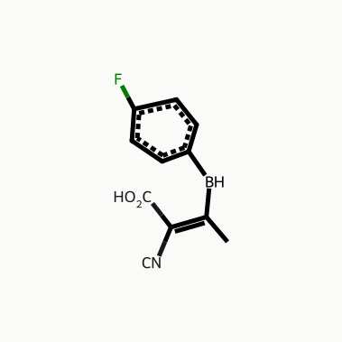 [C-]#[N+]C(C(=O)O)=C(C)Bc1ccc(F)cc1